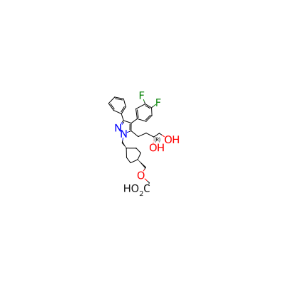 O=C(O)COC[C@H]1CC[C@@H](Cn2nc(-c3ccccc3)c(-c3ccc(F)c(F)c3)c2CC[C@@H](O)CO)CC1